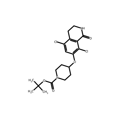 CC(C)(C)OC(=O)N1CCC(Oc2cc(Cl)c3c(c2Cl)C(=O)NCC3)CC1